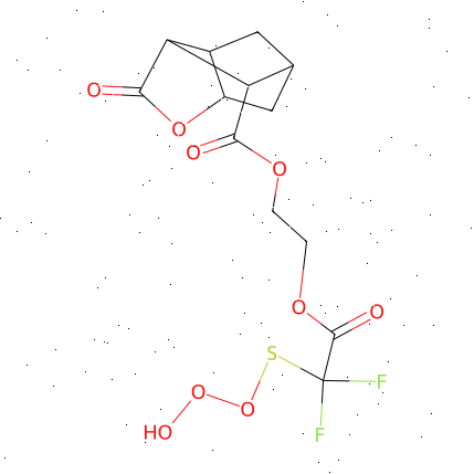 O=C(OCCOC(=O)C(F)(F)SOOO)C1C2CC3OC(=O)C1C3C2